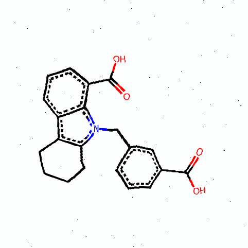 O=C(O)c1cccc(Cn2c3c(c4cccc(C(=O)O)c42)CCCC3)c1